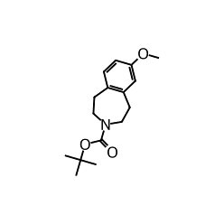 COc1ccc2c(c1)CCN(C(=O)OC(C)(C)C)CC2